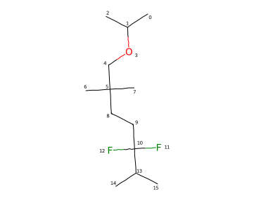 CC(C)OCC(C)(C)CCC(F)(F)C(C)C